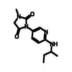 CCC(C)Nc1ccc(N2C(=O)CN(C)C2=O)cn1